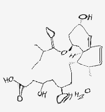 CCC(C)C(=O)O[C@H]1C[C@H](O)C=C2C=C[C@H](C)[C@H](CCC(O)CC(O)CC(=O)O)[C@H]21.O